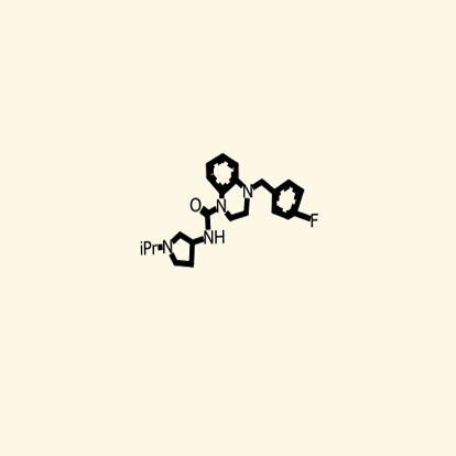 CC(C)N1CCC(NC(=O)N2CCN(Cc3ccc(F)cc3)c3ccccc32)C1